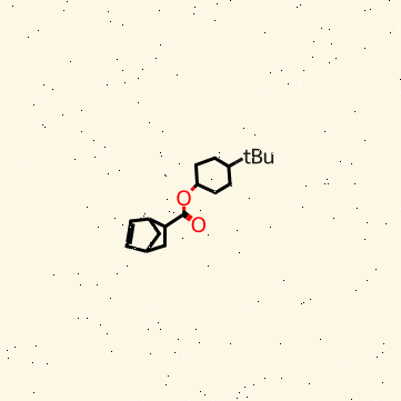 CC(C)(C)C1CCC(OC(=O)C2CC3C=CC2C3)CC1